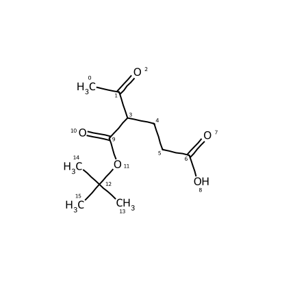 CC(=O)C(CCC(=O)O)C(=O)OC(C)(C)C